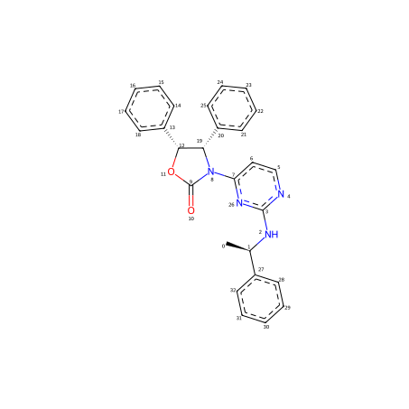 C[C@@H](Nc1nccc(N2C(=O)O[C@H](c3ccccc3)[C@@H]2c2ccccc2)n1)c1ccccc1